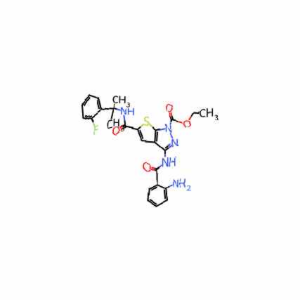 CCOC(=O)n1nc(NC(=O)c2ccccc2N)c2cc(C(=O)NC(C)(C)c3ccccc3F)sc21